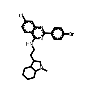 CN1CC(CCNc2nc(-c3ccc(Br)cc3)nc3cc(Cl)ccc23)C2CCCCC21